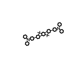 CC1(C)c2cc(-c3ccc(N(c4ccccc4)c4ccccc4)cc3)ccc2-c2cc3c(cc21)-c1ccc(-c2ccc(N(c4ccccc4)c4ccccc4)cc2)cc1C3(C)C